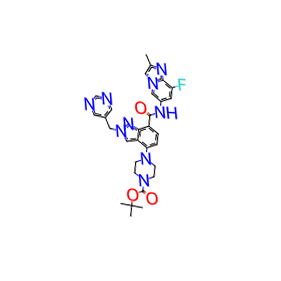 Cc1cn2cc(NC(=O)c3ccc(N4CCN(C(=O)OC(C)(C)C)CC4)c4cn(Cc5cncnc5)nc34)cc(F)c2n1